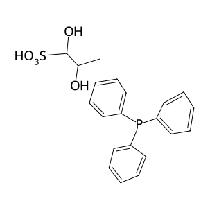 CC(O)C(O)S(=O)(=O)O.c1ccc(P(c2ccccc2)c2ccccc2)cc1